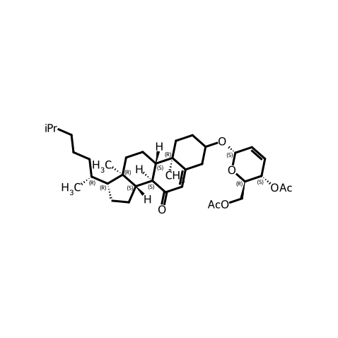 CC(=O)OC[C@H]1O[C@H](OC2CC[C@@]3(C)C(=CC(=O)[C@H]4[C@@H]5CC[C@H]([C@H](C)CCCC(C)C)[C@@]5(C)CC[C@@H]43)C2)C=C[C@@H]1OC(C)=O